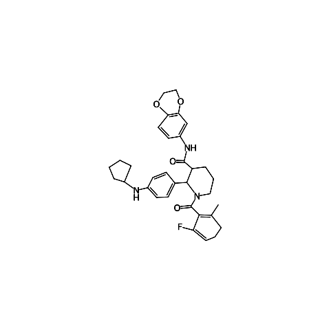 CC1=C(C(=O)N2CCCC(C(=O)Nc3ccc4c(c3)OCCO4)C2c2ccc(NC3CCCC3)cc2)C(F)=CCC1